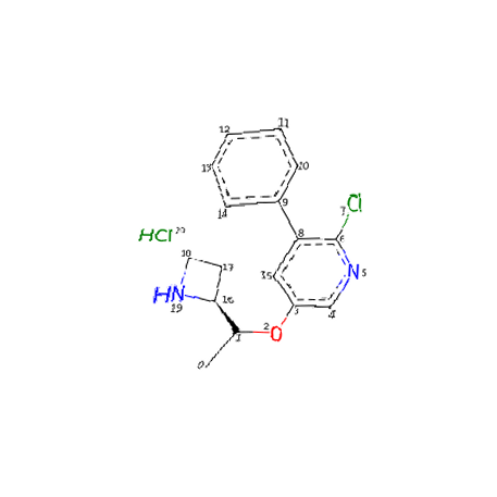 CC(Oc1cnc(Cl)c(-c2ccccc2)c1)[C@@H]1CCN1.Cl